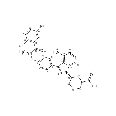 CN(Cc1ccc(-c2nn([C@@H]3CCCN(C(=O)O)C3)c3ncnc(N)c23)cc1)C(=O)c1cc(F)ccc1F